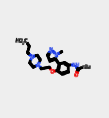 CCCCC(=O)Nc1ccc(OCCN2CCN(CCC(=O)O)CC2)c(-c2ccnn2C)c1